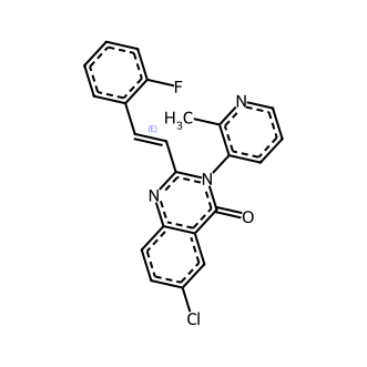 Cc1ncccc1-n1c(/C=C/c2ccccc2F)nc2ccc(Cl)cc2c1=O